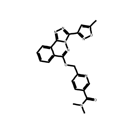 Cc1cc(-c2nnc3c4ccccc4c(OCc4ccc(C(=O)N(C)C)cn4)nn23)no1